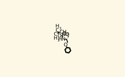 CC(C)(C)OC(=O)N[C@H](CO)COc1ccccc1